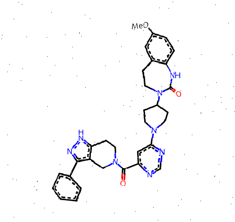 COc1ccc2c(c1)CCN(C1CCN(c3cc(C(=O)N4CCc5[nH]nc(-c6ccccc6)c5C4)ncn3)CC1)C(=O)N2